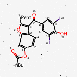 CCCCCc1oc2cc(OC(=O)CCCC)ccc2c1C(=O)c1cc(I)c(O)c(I)c1